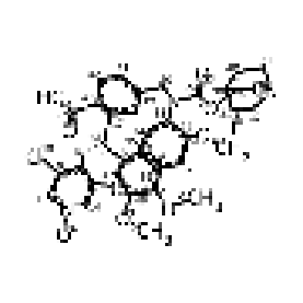 COc1ccc([C@H](Cc2c(Cl)c[n+]([O-])cc2Cl)c2cc(CN(C(=O)O[C@H]3CN4CCC3CC4)c3ccccc3OC)ccc2C(=O)O)cc1OC